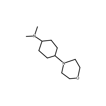 CN(C)C1CCC(N2CCOCC2)CC1